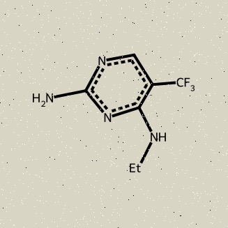 CCNc1nc(N)ncc1C(F)(F)F